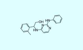 Cc1ccccc1C(CO)Nc1ccnc(Nc2ccccc2)n1